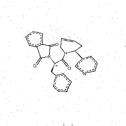 O=C([C@@H](Cc1ccccc1)N1C(=O)c2ccccc2C1=O)N1CC=CCC1c1cccnc1